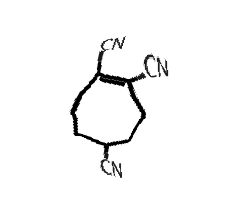 N#CC1=C(C#N)CCC(C#N)CCC1